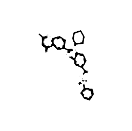 Cc1cc(=O)c2cc(-c3nc4cc(C(=O)NS(=O)(=O)c5ccccc5)ccc4n3C3CCCCC3)ccc2[nH]1